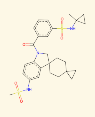 CC1(NS(=O)(=O)c2cccc(C(=O)N3CC4(CCC5(CC5)CC4)c4cc(NS(C)(=O)=O)ccc43)c2)CC1